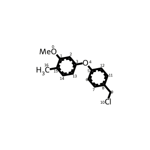 COc1cc(Oc2ccc(CCl)cc2)ccc1C